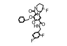 O=C(NCc1ccc(F)cc1F)c1cn2c(c(OCc3ccccc3)c1=O)C(=O)N1CCC[C@H](F)C2C1